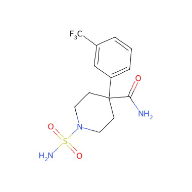 NC(=O)C1(c2cccc(C(F)(F)F)c2)CCN(S(N)(=O)=O)CC1